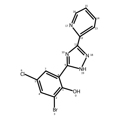 Oc1c(Br)cc(Cl)cc1-c1nc(-c2ccccn2)n[nH]1